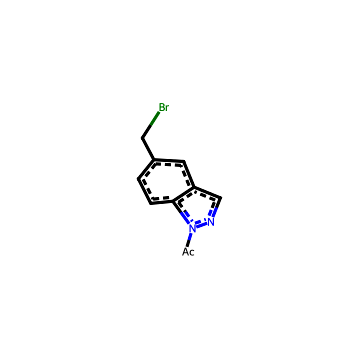 CC(=O)n1ncc2cc(CBr)ccc21